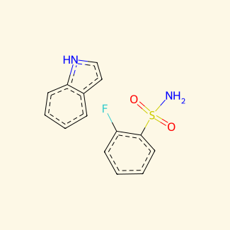 NS(=O)(=O)c1ccccc1F.c1ccc2[nH]ccc2c1